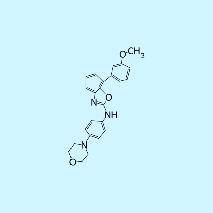 COc1cccc(-c2cccc3nc(Nc4ccc(N5CCOCC5)cc4)oc23)c1